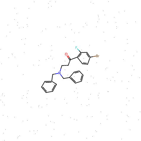 O=C(CCN(Cc1ccccc1)Cc1ccccc1)c1ccc(Br)cc1F